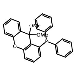 COC1(OC)c2ccccc2Oc2cccc(P(c3ccccc3)c3ccccc3)c21